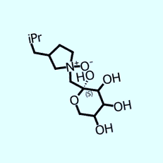 CC(C)CC1CC[N+]([O-])(C[C@]2(O)OCC(O)C(O)C2O)C1